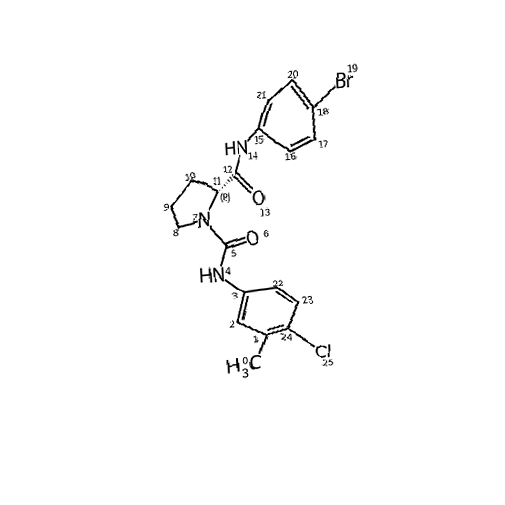 Cc1cc(NC(=O)N2CCC[C@@H]2C(=O)Nc2ccc(Br)cc2)ccc1Cl